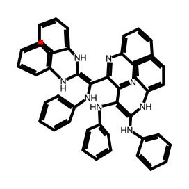 c1ccc(NC(Nc2ccccc2)=C(Nc2ccccc2)c2nc3ccccc3nc2C(Nc2ccccc2)=C(Nc2ccccc2)Nc2ccccc2)cc1